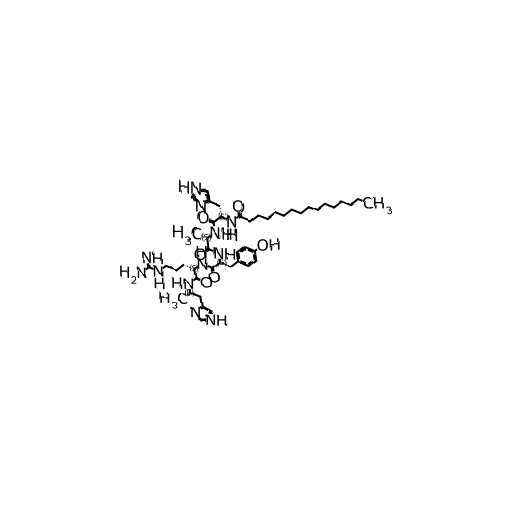 CCCCCCCCCCCCCCCC(=O)N[C@@H](Cc1c[nH]cn1)C(=O)N[C@@H](C)C(=O)N[C@@H](Cc1ccc(O)cc1)C(=O)N[C@@H](CCCNC(=N)N)C(=O)N[C@H](C)Cc1c[nH]cn1